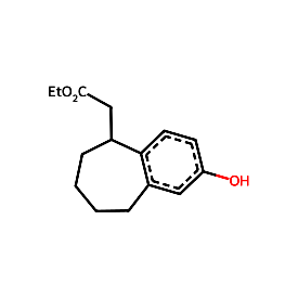 CCOC(=O)CC1CCCCc2cc(O)ccc21